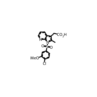 COc1cc(S(=O)(=O)n2c(C)c(CC(=O)O)c3cccnc32)ccc1Cl